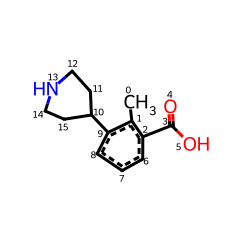 Cc1c(C(=O)O)cccc1C1CCNCC1